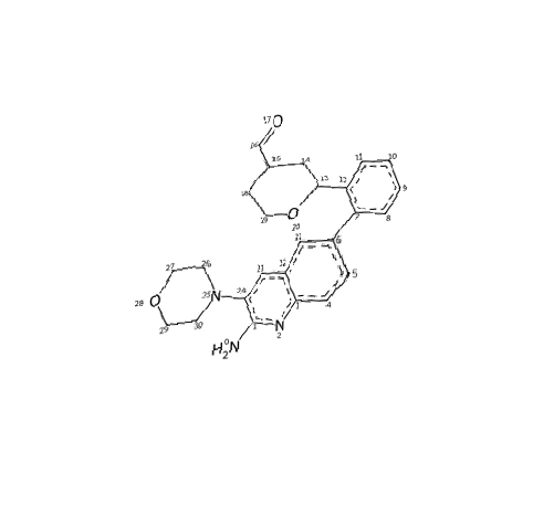 Nc1nc2ccc(-c3ccccc3C3CC(C=O)CCO3)cc2cc1N1CCOCC1